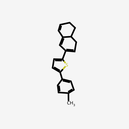 Cc1ccc(-c2ccc(C3=CCC4CCC=CC4=C3)s2)cc1